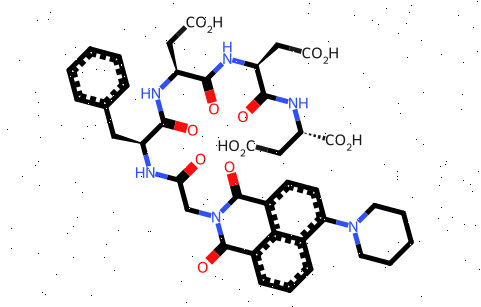 O=C(O)C[C@H](NC(=O)[C@H](CC(=O)O)NC(=O)[C@H](CC(=O)O)NC(=O)[C@H](Cc1ccccc1)NC(=O)CN1C(=O)c2cccc3c(N4CCCCC4)ccc(c23)C1=O)C(=O)O